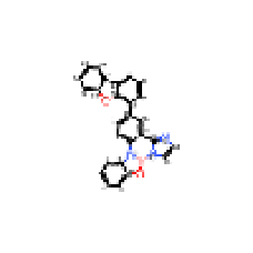 c1ccc2c(c1)OB1N2c2ccc(-c3cccc4c3oc3ccccc34)cc2-c2nccn21